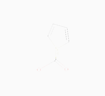 [O]C(=O)[SH]1C=CC=C1